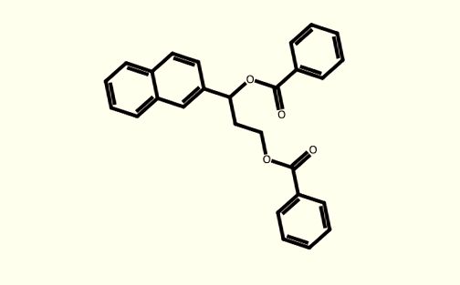 O=C(OCCC(OC(=O)c1ccccc1)c1ccc2ccccc2c1)c1ccccc1